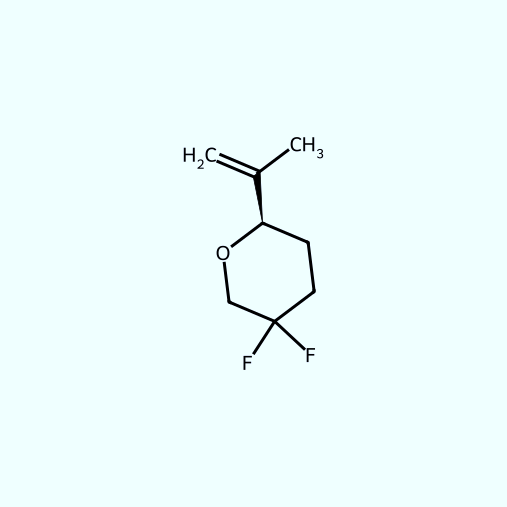 C=C(C)[C@H]1CCC(F)(F)CO1